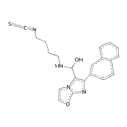 OC(NCCCCN=C=S)c1c(-c2ccc3ccccc3c2)nc2occn12